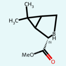 COC(=O)[C@H]1BCC2C1C2(C)C